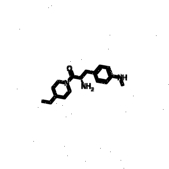 CCC1CCN(C(=O)[C@@H](N)Cc2ccc(NC)cc2)CC1